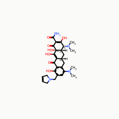 CN(C)c1cc(CN2CC=CC2)c(O)c2c1C[C@H]1C[C@H]3[C@H](N(C)C)C(O)=C(C(N)=O)C(=O)[C@@]3(O)C(O)=C1C2=O